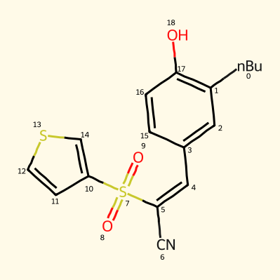 CCCCc1cc(C=C(C#N)S(=O)(=O)c2ccsc2)ccc1O